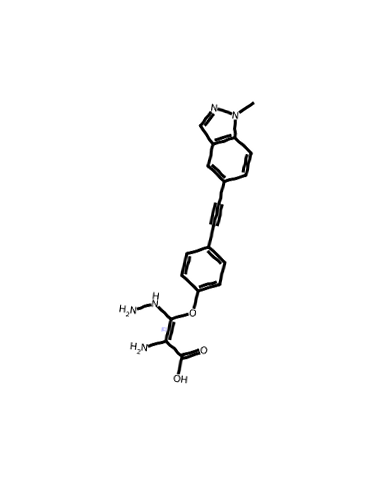 Cn1ncc2cc(C#Cc3ccc(O/C(NN)=C(/N)C(=O)O)cc3)ccc21